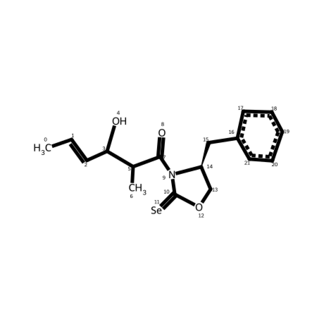 CC=CC(O)C(C)C(=O)N1C(=[Se])OC[C@@H]1Cc1ccccc1